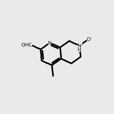 Cc1cc(C=O)nc2c1CC[NH+]([O-])C2